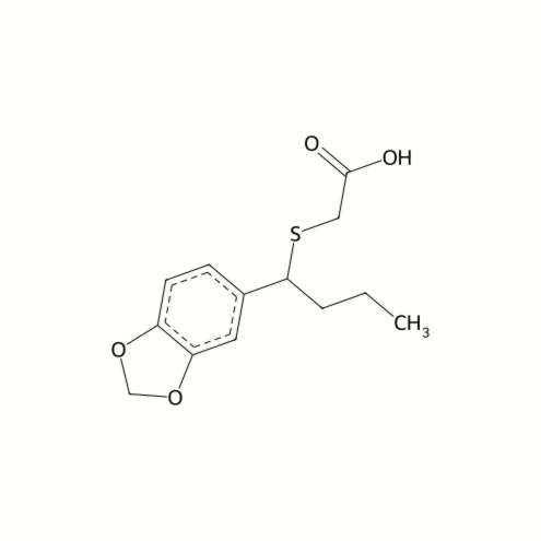 CCCC(SCC(=O)O)c1ccc2c(c1)OCO2